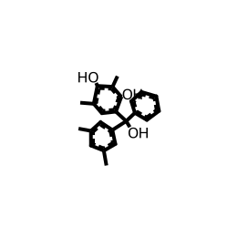 Cc1cc(C)cc(C(O)(c2ccccc2)c2cc(C)c(O)c(C)c2O)c1